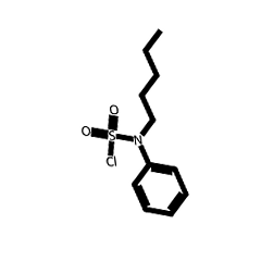 CCCCCN(c1ccccc1)S(=O)(=O)Cl